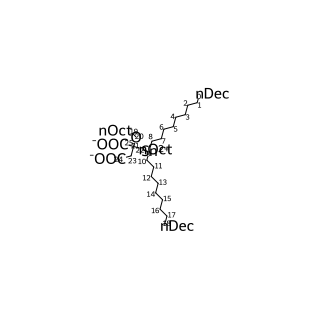 CCCCCCCCCCCCCCCCC[CH2][Sn+2][CH2]CCCCCCCCCCCCCCCCC.CCCCCCCCOC(CCCCCCCC)(CC(=O)[O-])C(=O)[O-]